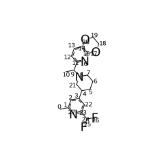 Cc1cc(C2CCCN(C(C)c3ccc4c(n3)OCCO4)C2)cc(C(F)F)n1